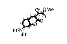 CCN(CC)c1ccc2cc(C(=O)C(=O)OC)c(=O)oc2c1